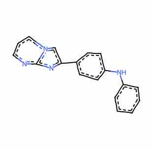 c1ccc(Nc2ccc(-c3cn4cccnc4n3)cc2)cc1